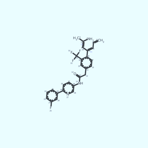 C=C/C=C(\C=C(\C)N)c1ccc(CC(=O)Nc2ccc(-c3cccc(F)c3)nc2)cc1C(F)(F)F